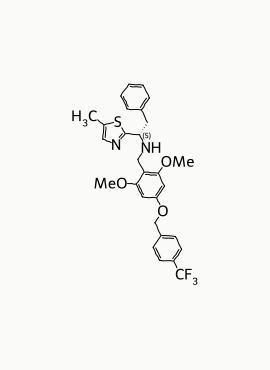 COc1cc(OCc2ccc(C(F)(F)F)cc2)cc(OC)c1CN[C@@H](Cc1ccccc1)c1ncc(C)s1